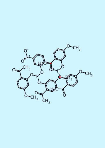 COc1ccc(C(C)=O)c(OP(OCc2ccc([N+](=O)[O-])cc2OP(Oc2cc(OC)ccc2C(C)=O)Oc2cc(OC)ccc2C(C)=O)Oc2cc(OC)ccc2C(C)=O)c1